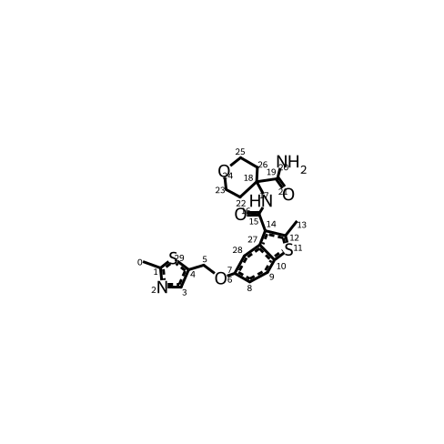 Cc1ncc(COc2ccc3sc(C)c(C(=O)NC4(C(N)=O)CCOCC4)c3c2)s1